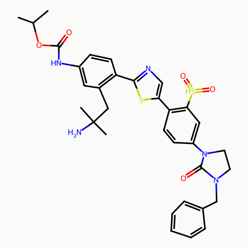 CC(C)OC(=O)Nc1ccc(-c2ncc(-c3ccc(N4CCN(Cc5ccccc5)C4=O)cc3[SH](=O)=O)s2)c(CC(C)(C)N)c1